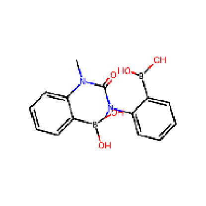 CN(C(=O)N(C)c1ccccc1B(O)O)c1ccccc1B(O)O